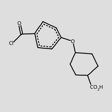 O=C(Cl)c1ccc(OC2CCC(C(=O)O)CC2)cc1